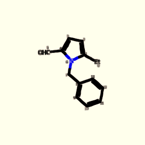 CCc1ccc(C=O)n1Cc1ccccc1